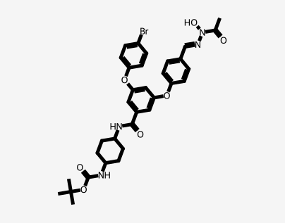 CC(=O)N(O)N=Cc1ccc(Oc2cc(Oc3ccc(Br)cc3)cc(C(=O)NC3CCC(NC(=O)OC(C)(C)C)CC3)c2)cc1